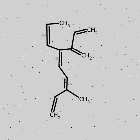 C=CC(=C)C(/C=C\C)=C\C=C(\C)C=C